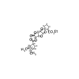 CCOC(=O)C1CCCC12OC1OC3C(OC(=O)C4CC5CC4C(C)C5C)C(=O)OC3C1O2